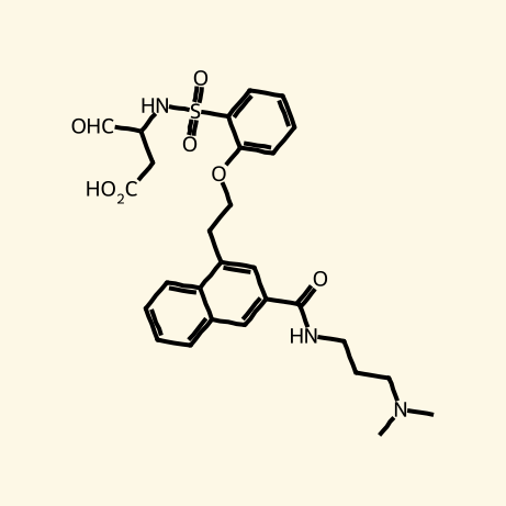 CN(C)CCCNC(=O)c1cc(CCOc2ccccc2S(=O)(=O)NC(C=O)CC(=O)O)c2ccccc2c1